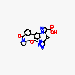 CCOC[C@@H]1CCCN1C(=O)c1cccc(-c2cccc(-n3ncc(C(=O)O)c3[C@@H]3C[C@H]3c3cn(C)nn3)c2)c1